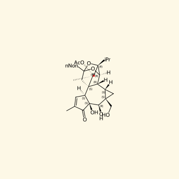 CCCCCCCCCC12C[C@@]34[C@H]([C@@H](O1)[C@@](C(C)C)(O2)[C@H](OC(C)=O)[C@H]3C)[C@@H]1C[C@]1(CO)[C@@H](O)[C@]1(O)C(=O)C(C)=C[C@H]14